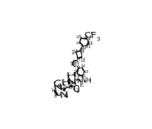 Cn1ccnc1C(=O)Nc1c[nH]c2ccc(O[C@H]3C[C@H](c4ccc(C(F)(F)F)cc4)C3)cc12